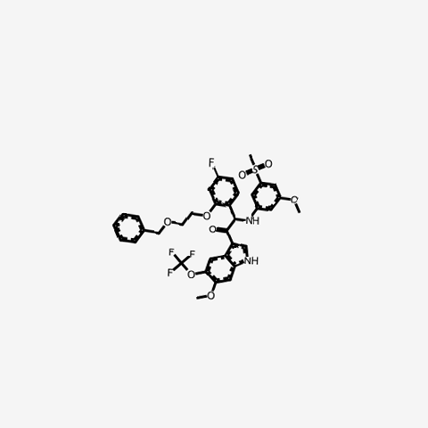 COc1cc(NC(C(=O)c2c[nH]c3cc(OC)c(OC(F)(F)F)cc23)c2ccc(F)cc2OCCOCc2ccccc2)cc(S(C)(=O)=O)c1